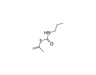 C=C(C)SC(=O)NCCC